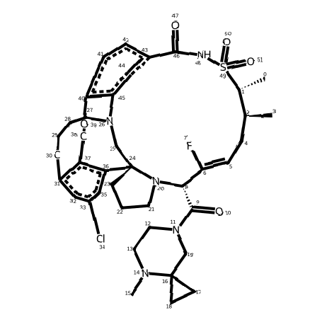 C[C@@H]1[C@@H](C)C/C=C(\F)[C@H](C(=O)N2CCN(C)C3(CC3)C2)N2CCC[C@@]23CN2CCCCc4cc(Cl)cc3c4COc3ccc(cc32)C(=O)NS1(=O)=O